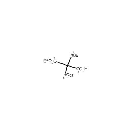 CCCCCCCCC(CCCC)(C(=O)O)C(=O)OCC